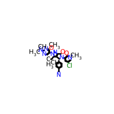 COc1nc(N(C)C)ncc1-n1nc2c(c1C(C)C)[C@H](c1ccc(C#N)cc1)N(c1cc(Cl)cn(C)c1=O)C2=O